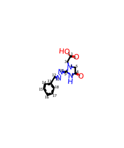 O=C(O)CN1CC(=O)N/C1=N\N=C\c1ccccc1